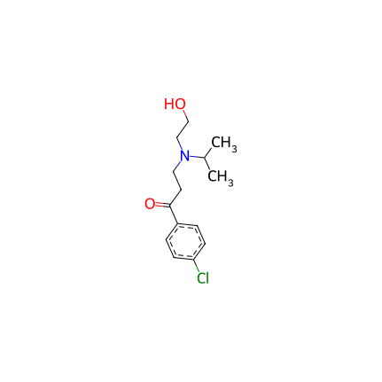 CC(C)N(CCO)CCC(=O)c1ccc(Cl)cc1